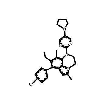 CCc1c(C)c2c3c(cc(C)n3CCN2c2ncc(N3CCCC3)cn2)c1-c1ccc(Cl)cc1